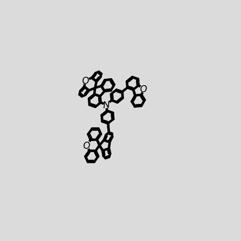 c1ccc2c(c1)Oc1ccccc1C21c2ccccc2-c2ccc(-c3ccc(N(c4ccc(-c5cccc6oc7ccccc7c56)cc4)c4cccc5c4-c4ccccc4C54c5ccccc5Oc5ccccc54)cc3)cc21